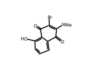 CNC1=C(Br)C(=O)c2c(O)cccc2C1=O